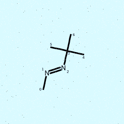 CN=NC(C)(C)C